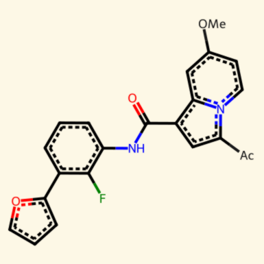 COc1ccn2c(C(C)=O)cc(C(=O)Nc3cccc(-c4ccco4)c3F)c2c1